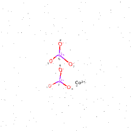 [Co+2].[O-][I+2]([O-])[O-].[O-][I+2]([O-])[O-]